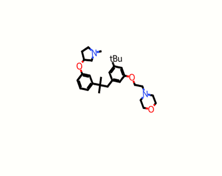 CN1CCC(Oc2cccc(C(C)(C)Cc3cc(OCCN4CCOCC4)cc(C(C)(C)C)c3)c2)C1